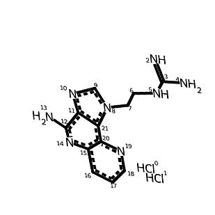 Cl.Cl.N=C(N)NCCn1cnc2c(N)nc3cccnc3c21